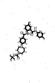 Cc1ccc(NC(=O)c2cc(C)ccc2NC(=O)c2ccc(N3CCCN(C(=O)OC(C)(C)C)CC3)cc2)nc1